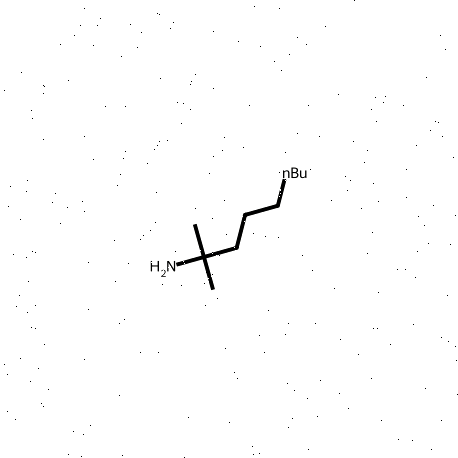 CCCCCCCC(C)(C)N